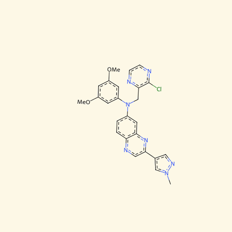 COc1cc(OC)cc(N(Cc2nccnc2Cl)c2ccc3ncc(-c4cnn(C)c4)nc3c2)c1